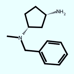 CN(Cc1ccccc1)[C@@H]1CC[C@H](N)C1